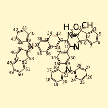 CC1(C)c2ccccc2-c2nc(-c3ccc4c5ccccc5n(-c5ccccc5)c4c3)c(-c3ccc4cc(-n5c6ccccc6c6cc7ccccc7cc65)ccc4c3)nc21